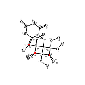 CCO[Si](OCC)(OCC)C(Cn1c(=O)[nH]c(=O)[nH]c1=O)([Si](OCC)(OCC)OCC)[Si](OCC)(OCC)OCC